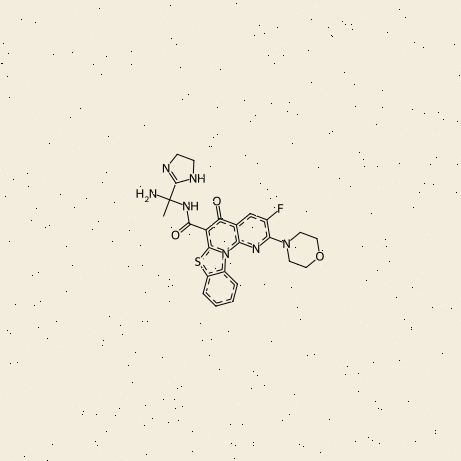 CC(N)(NC(=O)c1c(=O)c2cc(F)c(N3CCOCC3)nc2n2c1sc1ccccc12)C1=NCCN1